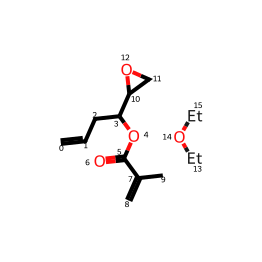 C=CCC(OC(=O)C(=C)C)C1CO1.CCOCC